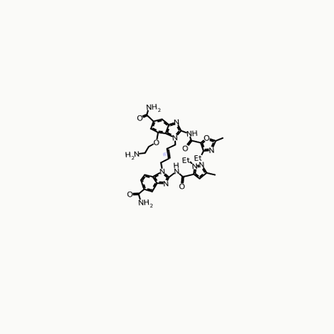 CCc1nc(C)oc1C(=O)Nc1nc2cc(C(N)=O)cc(OCCN)c2n1C/C=C/Cn1c(NC(=O)c2cc(C)nn2CC)nc2cc(C(N)=O)ccc21